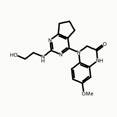 COc1ccc2c(c1)NC(=O)CN2c1nc(NCCO)nc2c1CCC2